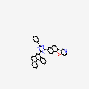 C1=CC2c3cnccc3OC2c2ccc(-c3nc(-c4ccccc4)nc(-c4cc5ccc6ccccc6c5c5ccccc45)n3)cc21